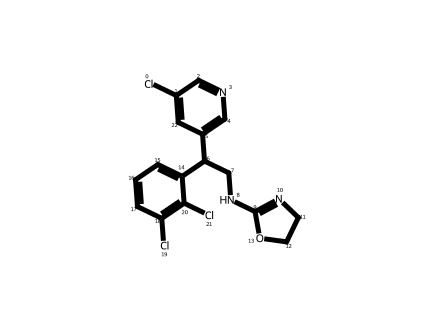 Clc1cncc(C(CNC2=NCCO2)c2cccc(Cl)c2Cl)c1